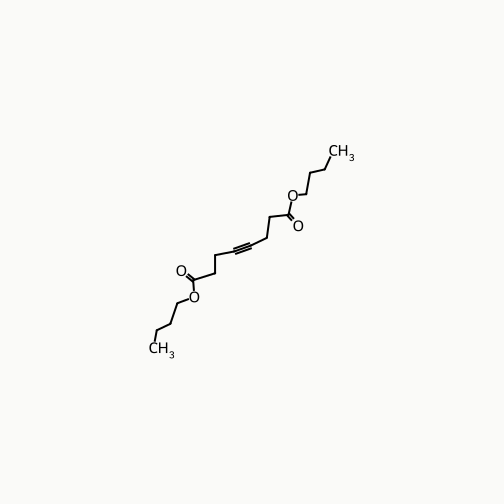 CCCCOC(=O)CCC#CCCC(=O)OCCCC